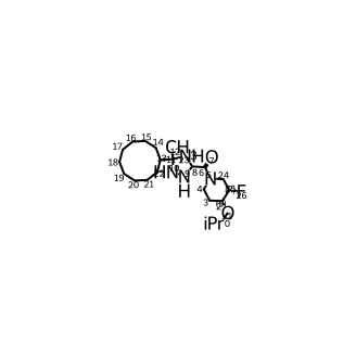 CC(C)O[C@H]1CCN(C(=O)C2NNC(C)(C3CCCCCCCCC3)N2)C[C@H]1F